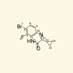 O=c1[nH]c2c(F)c(Br)ccc2nc1C1CC1